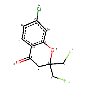 O=C1CC(CF)(CF)Oc2cc(Cl)ccc21